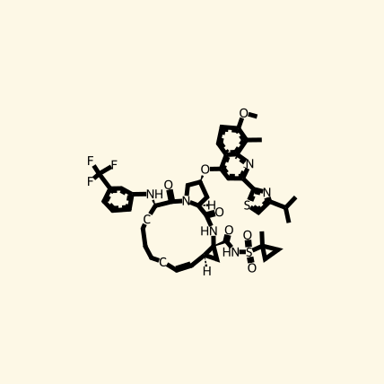 COc1ccc2c(O[C@@H]3C[C@H]4C(=O)N[C@]5(C(=O)NS(=O)(=O)C6(C)CC6)C[C@H]5/C=C\CCCCC[C@H](Nc5cccc(C(F)(F)F)c5)C(=O)N4C3)cc(-c3nc(C(C)C)cs3)nc2c1C